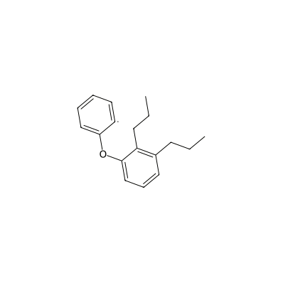 CCCc1cccc(Oc2[c]cccc2)c1CCC